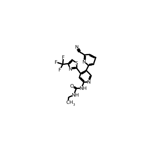 CCNC(=O)Nc1cc(-c2nc(C(F)(F)F)cs2)c(-c2cccc(C#N)n2)cn1